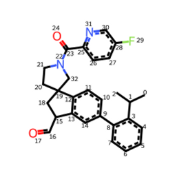 CC(C)c1ccccc1-c1ccc2c(c1)C(C=O)CC21CCN(C(=O)c2ccc(F)cn2)C1